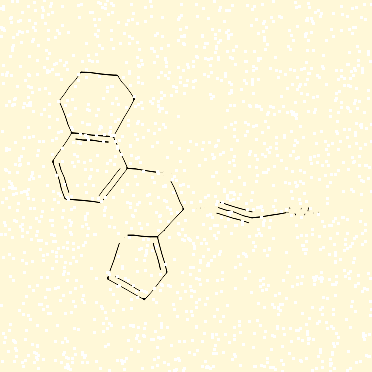 CNC#C[C@@H](Oc1cccc2c1CCCC2)c1cccs1